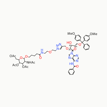 COc1ccc(C(OC[C@H]2O[C@@H](n3cnc4c(NC(=O)c5ccccc5)ncnc43)[C@H](OCc3cn(CCOCCNC(=O)CCCCOC4OC(COC(C)=O)C(OC(C)=O)C(OC(C)=O)C4NC(C)=O)nn3)[C@@H]2O)(c2ccccc2)c2ccc(OC)cc2)cc1